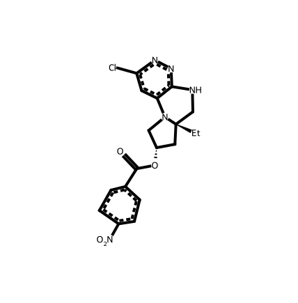 CC[C@]12CNc3nnc(Cl)cc3N1C[C@@H](OC(=O)c1ccc([N+](=O)[O-])cc1)C2